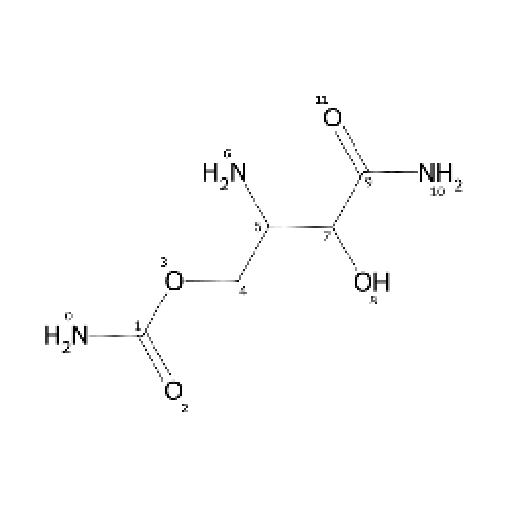 NC(=O)OCC(N)C(O)C(N)=O